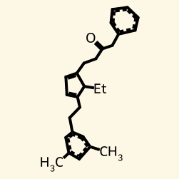 CCC1C(CCC(=O)Cc2ccccc2)=CC=C1CCc1cc(C)cc(C)c1